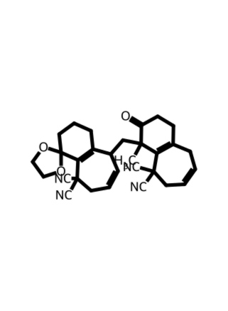 CC1(CC2C=CCC(C#N)(C#N)C3=C2CCCC32OCCO2)C(=O)CCC2=C1C(C#N)(C#N)CC=CC2